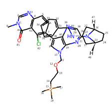 Cn1cnc2ccc(-c3cn(COCCS(C)(C)C)c4nc(N5[C@@H]6CC[C@H]5C[C@@H](NCc5ccccc5)C6)cnc34)c(Cl)c2c1=O